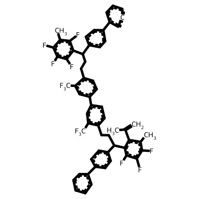 C=C(C)c1c(C)c(F)c(F)c(F)c1C(CCc1ccc(-c2ccc(CCC(c3ccc(-c4ccccc4)cc3)c3c(F)c(C)c(F)c(F)c3F)c(C(F)(F)F)c2)cc1C(F)(F)F)c1ccc(-c2ccccc2)cc1